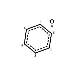 [O].c1ccccc1